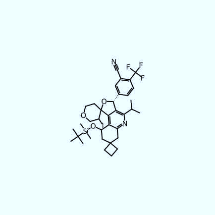 CC(C)c1nc2c(c3c1[C@@H](c1ccc(C(F)(F)F)c(C#N)c1)OC31CCOCC1I)C(O[Si](C)(C)C(C)(C)C)CC1(CCC1)C2